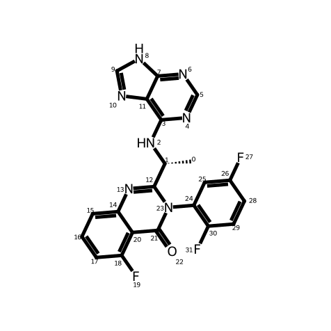 C[C@@H](Nc1ncnc2[nH]cnc12)c1nc2cccc(F)c2c(=O)n1-c1cc(F)ccc1F